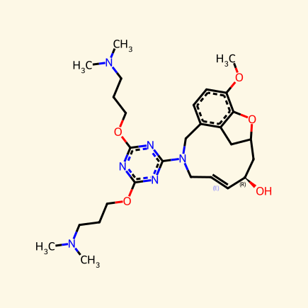 COc1ccc2c3c1OC(C3)C[C@@H](O)/C=C/CN(c1nc(OCCCN(C)C)nc(OCCCN(C)C)n1)C2